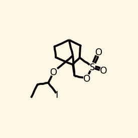 CCC(I)OC1C2CCC3C1OS(=O)(=O)C3C2